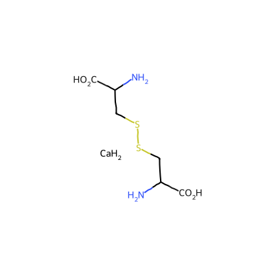 NC(CSSCC(N)C(=O)O)C(=O)O.[CaH2]